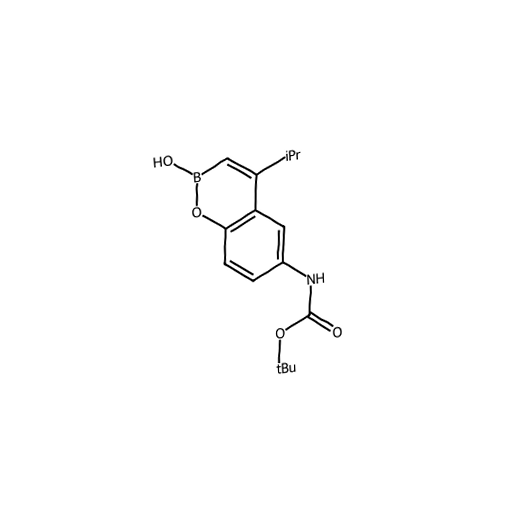 CC(C)C1=CB(O)Oc2ccc(NC(=O)OC(C)(C)C)cc21